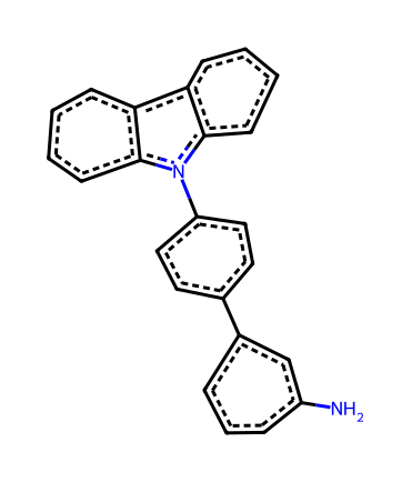 Nc1cccc(-c2ccc(-n3c4ccccc4c4ccccc43)cc2)c1